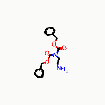 NCCN(C(=O)OCc1ccccc1)C(=O)OCc1ccccc1